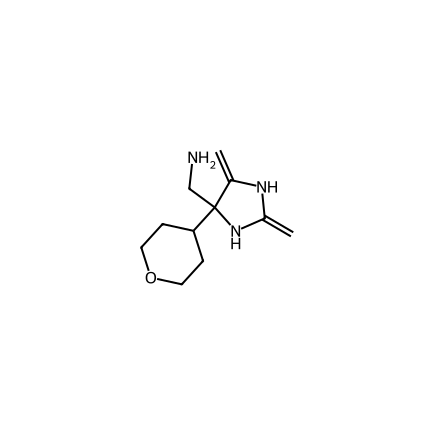 C=C1NC(=C)C(CN)(C2CCOCC2)N1